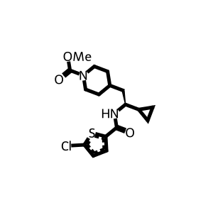 COC(=O)N1CCC(C[C@H](NC(=O)c2ccc(Cl)s2)C2CC2)CC1